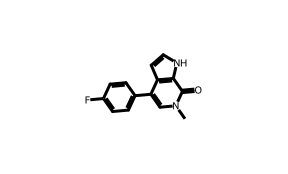 Cn1cc(-c2ccc(F)cc2)c2cc[nH]c2c1=O